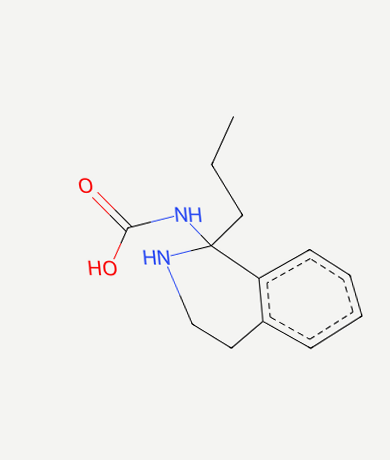 CCCC1(NC(=O)O)NCCc2ccccc21